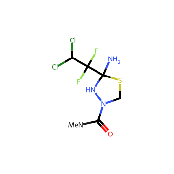 CNC(=O)N1CSC(N)(C(F)(F)C(Cl)Cl)N1